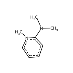 CN(C)c1cccc[n+]1C